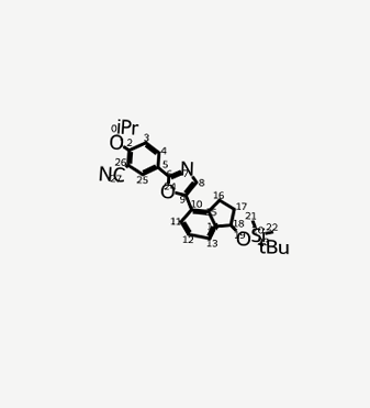 CC(C)Oc1ccc(-c2ncc(-c3cccc4c3CCC4O[Si](C)(C)C(C)(C)C)o2)cc1C#N